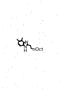 CCCCCCCCCCc1nc2c(C)c(C)ccc2[nH]1